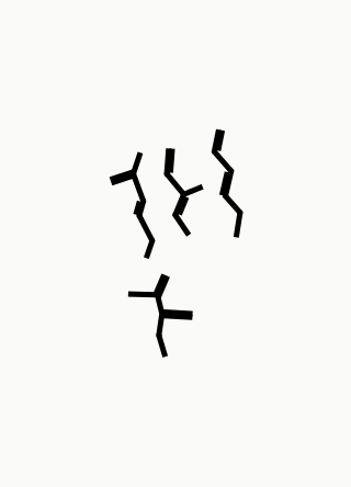 C=C(C)/C=C/CC.C=C(C)C(=C)CC.C=C/C(C)=C/C.C=C/C=C/CC